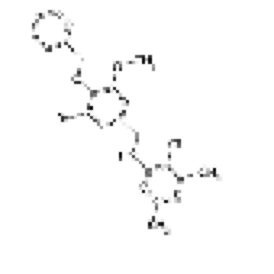 COc1cc(CNc2nc(C)nc(C)c2Cl)cc(Br)c1OCc1ccccc1